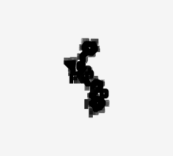 O=C(C[C@@H]1CCC(=O)N1Cc1cccc(F)c1F)N[C@@H](CC1CC1)C(=O)OCCc1ccccc1